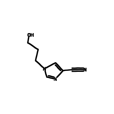 N#Cc1cn(CCCO)cn1